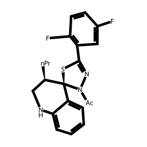 CCC[C@@H]1CNc2ccccc2[C@]12SC(c1cc(F)ccc1F)=NN2C(C)=O